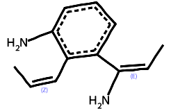 C/C=C\c1c(N)cccc1/C(N)=C\C